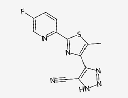 Cc1sc(-c2ccc(F)cn2)nc1-c1nn[nH]c1C#N